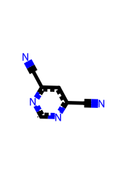 N#Cc1cc(C#N)n[c]n1